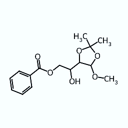 COC1OC(C)(C)OC1C(O)COC(=O)c1ccccc1